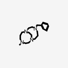 CN1CCCN2CCN(CCCN(Cc3ccccc3)CC2)CC1